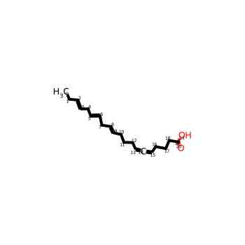 CC/C=C/C/C=C/C/C=C/CCCC=C=CCCCC(=O)O